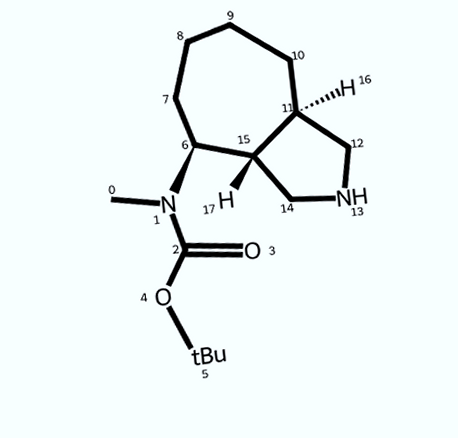 CN(C(=O)OC(C)(C)C)[C@H]1CCCC[C@H]2CNC[C@@H]21